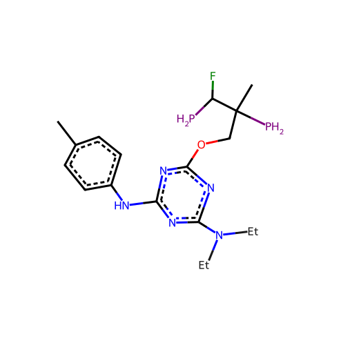 CCN(CC)c1nc(Nc2ccc(C)cc2)nc(OCC(C)(P)C(F)P)n1